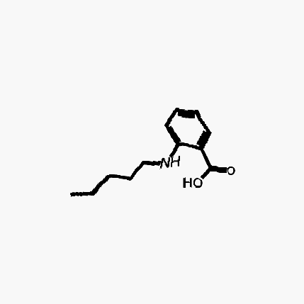 CCCCCNc1ccccc1C(=O)O